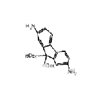 CCCCCCCCCCC1(CCCCCCCCCC)c2cc(N)ccc2-c2ccc(N)cc21